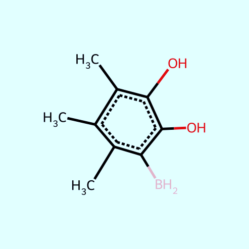 Bc1c(C)c(C)c(C)c(O)c1O